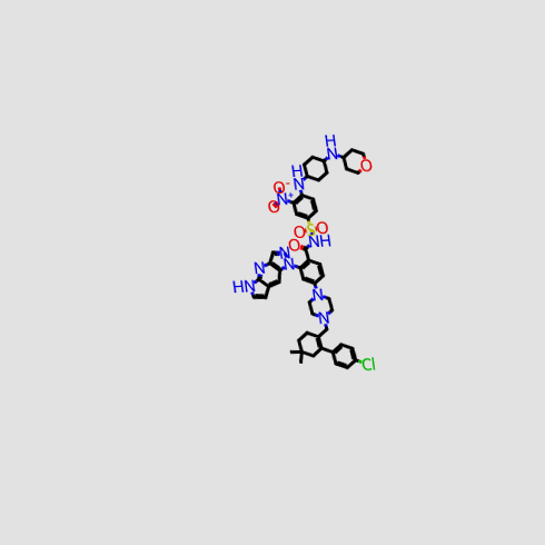 CC1(C)CCC(CN2CCN(c3ccc(C(=O)NS(=O)(=O)c4ccc(NC5CCC(NC6CCOCC6)CC5)c([N+](=O)[O-])c4)c(-n4ncc5nc6[nH]ccc6cc54)c3)CC2)=C(c2ccc(Cl)cc2)C1